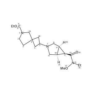 CCOC(=O)N1CCC2(CC(N3C[C@@H]4[C@H](C3)[C@@H]4C(=O)N(CC)OC)C2)C1